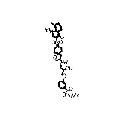 CCn1cc(S(=O)(=O)N2CCC3(CC2)CC(NCC(O)COc2cccc(S(=O)(=O)NC)c2)CO3)c(=O)c2cccc(C)c21